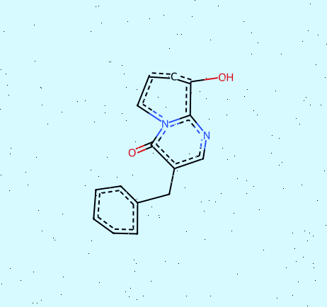 O=c1c(Cc2ccccc2)cnc2c(O)cccn12